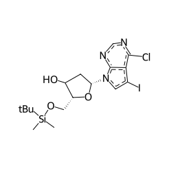 CC(C)(C)[Si](C)(C)OC[C@H]1O[C@@H](n2cc(I)c3c(Cl)ncnc32)CC1O